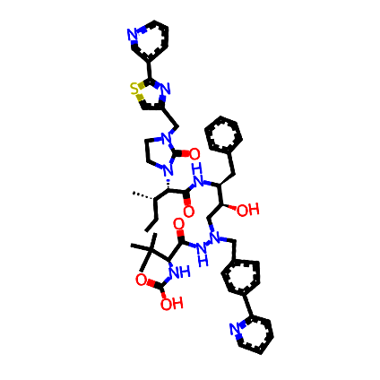 CC[C@H](C)[C@@H](C(=O)N[C@@H](Cc1ccccc1)[C@@H](O)CN(Cc1ccc(-c2ccccn2)cc1)NC(=O)[C@@H](NC(=O)O)C(C)(C)C)N1CCN(Cc2csc(-c3cccnc3)n2)C1=O